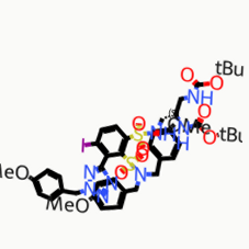 COc1ccc(CN(Cc2ccc(OC)cc2)S(=O)(=O)c2c(S(=O)(=O)NC[C@H](CNC(=O)OC(C)(C)C)NC(=O)OC(C)(C)C)ccc(I)c2-c2nnn(Cc3ccc(OC)cc3)n2)cc1